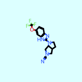 N#CN1CC2CCN(c3nc4ccc(OC(F)(F)F)cc4[nH]3)C2C1